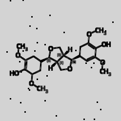 COC1=CC([C@H]2OC[C@H]3[C@@H]2CO[C@@H]3C2CC(OC)=C(O)C(OC)C2)CC(OC)=C1O